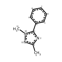 Cc1nc(-c2ccccc2)n(C)n1